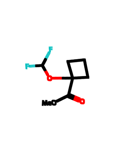 COC(=O)C1(OC(F)F)CCC1